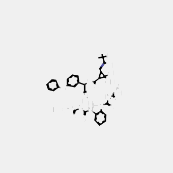 CC1(C)C(/C=C(\Cl)C(F)(F)F)C1C(=O)OC(C#N)c1cccc(Oc2ccccc2)c1.COC(=O)NC(=S)Nc1ccccc1NC(=S)NC(=O)OC